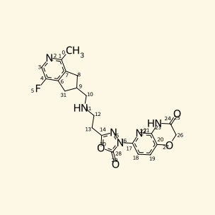 Cc1ncc(F)c2c1CC(CNCCc1nn(-c3ccc4c(n3)NC(=O)CO4)c(=O)o1)C2